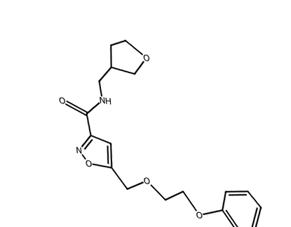 O=C(NCC1CCOC1)c1cc(COCCOc2ccccc2)on1